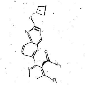 C/N=C(\C(C(N)=O)=C(/C)N)c1ccc2nc(OC3CCC3)ccc2c1